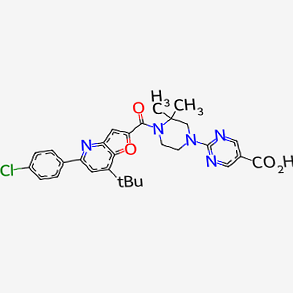 CC(C)(C)c1cc(-c2ccc(Cl)cc2)nc2cc(C(=O)N3CCN(c4ncc(C(=O)O)cn4)CC3(C)C)oc12